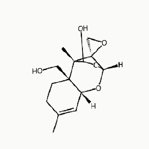 CC1=C[C@H]2O[C@@H]3CC(O)[C@](C)([C@@]2(CO)CC1)[C@]31CO1